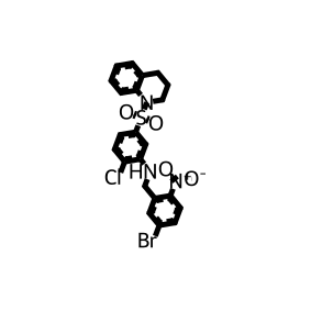 O=[N+]([O-])c1ccc(Br)cc1CNc1cc(S(=O)(=O)N2CCCc3ccccc32)ccc1Cl